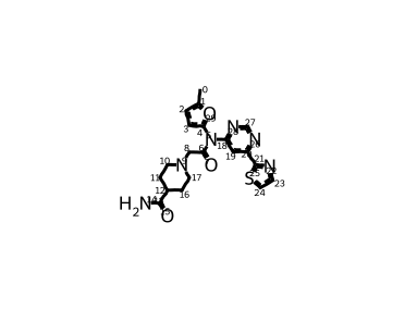 Cc1ccc(N(C(=O)CN2CCC(C(N)=O)CC2)c2cc(-c3nccs3)ncn2)o1